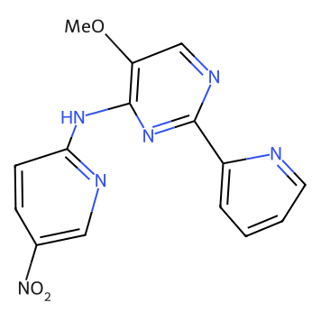 COc1cnc(-c2ccccn2)nc1Nc1ccc([N+](=O)[O-])cn1